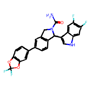 NC(=O)N1Cc2cc(-c3ccc4c(c3)OC(F)(F)O4)ccc2C1c1c[nH]c2cc(F)c(F)cc12